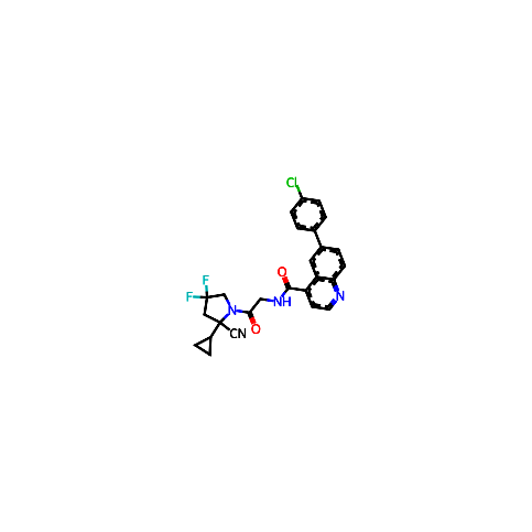 N#CC1(C2CC2)CC(F)(F)CN1C(=O)CNC(=O)c1ccnc2ccc(-c3ccc(Cl)cc3)cc12